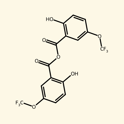 O=C(OC(=O)c1cc(OC(F)(F)F)ccc1O)c1cc(OC(F)(F)F)ccc1O